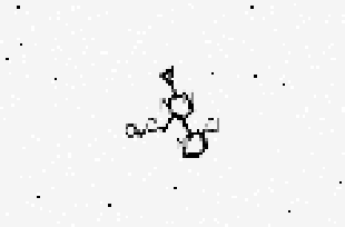 O=COCc1nc(C2CC2)ncc1-c1ncccc1Cl